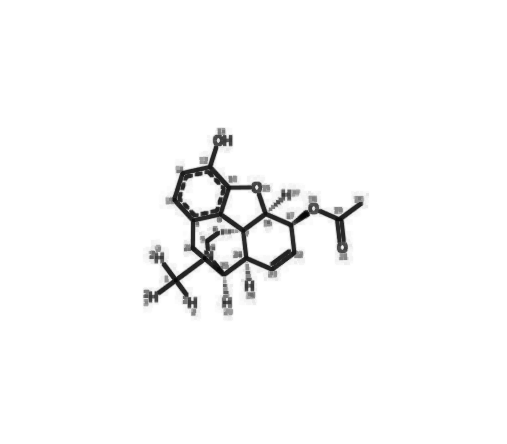 [2H]C([2H])([2H])N1CC[C@]23c4c5ccc(O)c4O[C@H]2[C@@H](OC(C)=O)C=C[C@H]3[C@H]1C5